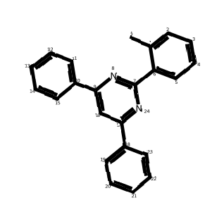 Cc1ccccc1-c1nc(-c2ccccc2)cc(-c2ccccc2)n1